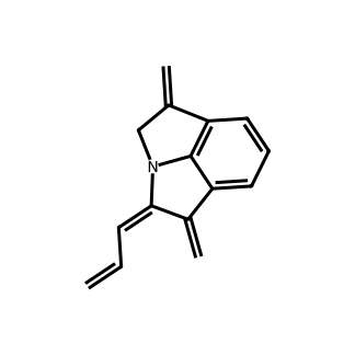 C=C/C=c1\c(=C)c2cccc3c2n1CC3=C